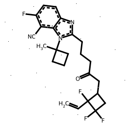 C=CC1(F)C(CC(=O)CCCc2nc3ccc(F)c(C#N)c3n2C2(C)CCC2)CC1(F)F